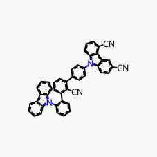 N#Cc1ccc2c(c1)c1c(C#N)cccc1n2-c1ccc(-c2cccc(-c3ccccc3-n3c4ccccc4c4ccccc43)c2C#N)cc1